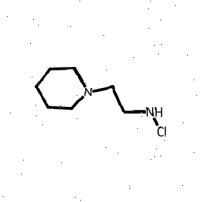 ClNCCN1CCCCC1